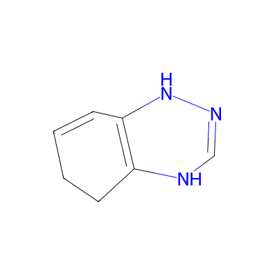 C1=CC2=C(CC1)NC=NN2